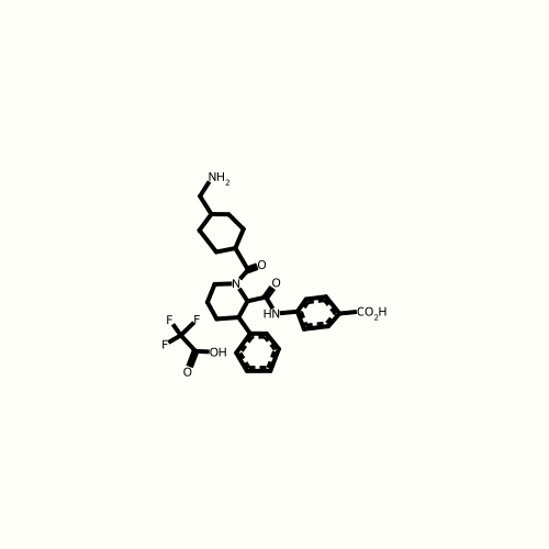 NCC1CCC(C(=O)N2CCCC(c3ccccc3)C2C(=O)Nc2ccc(C(=O)O)cc2)CC1.O=C(O)C(F)(F)F